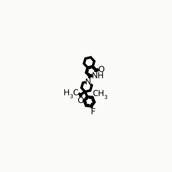 CC(=O)C1(c2ccc(F)cc2C)CCN(c2cc3c(c(=O)[nH]2)CCCC3)CC1